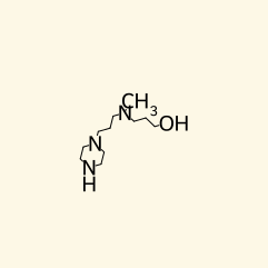 CN(CCCO)CCCN1CCNCC1